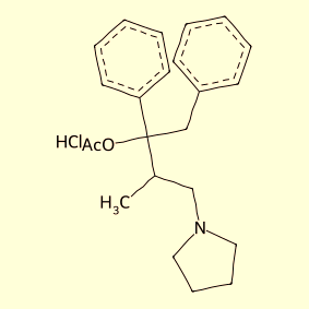 CC(=O)OC(Cc1ccccc1)(c1ccccc1)C(C)CN1CCCC1.Cl